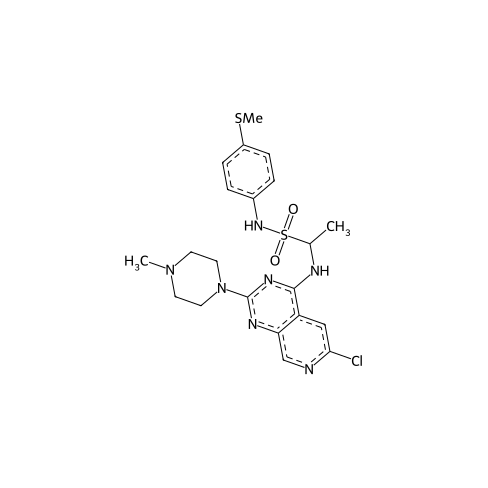 CSc1ccc(NS(=O)(=O)C(C)Nc2nc(N3CCN(C)CC3)nc3cnc(Cl)cc23)cc1